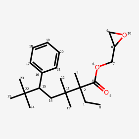 CCC(C)(C(=O)OCC1CO1)C(C)(C)CC(c1ccccc1)C(C)(C)C